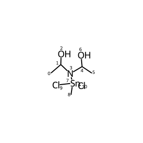 CC(O)[N](C(C)O)[Sn]([CH3])([Cl])[Cl]